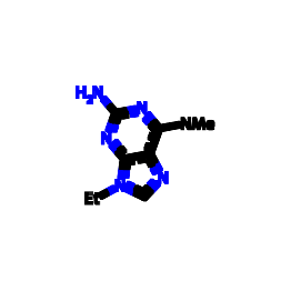 CCn1cnc2c(NC)nc(N)nc21